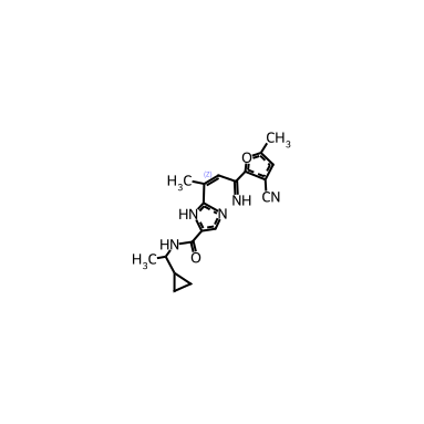 C/C(=C/C(=N)c1oc(C)cc1C#N)c1ncc(C(=O)NC(C)C2CC2)[nH]1